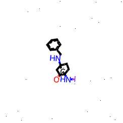 O=C1CC2(NCc3ccccc3)CCC1(NI)CC2